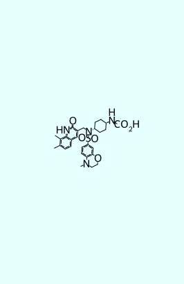 Cc1ccc2cc(CN([C@H]3CC[C@H](NC(=O)O)CC3)S(=O)(=O)c3ccc4c(c3)OCCN4C)c(=O)[nH]c2c1C